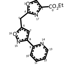 CCOC(=O)c1coc(Cc2cc(-c3ccccn3)no2)n1